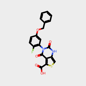 O=C(O)c1scc2[nH]c(=O)n(-c3cc(OCc4ccccc4)ccc3F)c(=O)c12